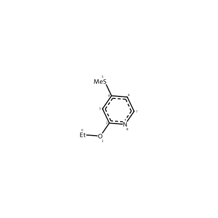 CCOc1cc(SC)ccn1